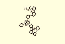 Cc1cccc2c1sc1c(-c3cccc(-c4nc(-c5ccccc5)nc(-c5ccc6c(c5)c5ccccc5n6-c5ccccc5-c5ccccc5)n4)c3)cccc12